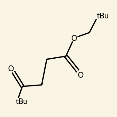 CC(C)(C)COC(=O)CCC(=O)C(C)(C)C